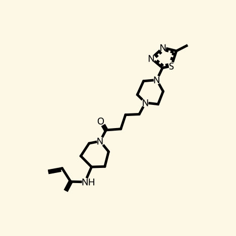 C=CC(=C)NC1CCN(C(=O)CCCN2CCN(c3nnc(C)s3)CC2)CC1